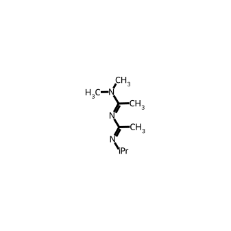 CC(=N\C(C)C)/N=C(\C)N(C)C